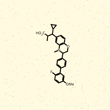 COc1ccc(F)c(-c2ccc(C3COc4ccc(C(C5CC5)C(C)C(=O)O)cc4N3C)cc2)c1